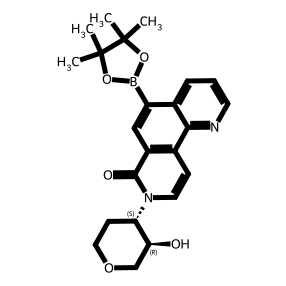 CC1(C)OB(c2cc3c(=O)n([C@H]4CCOC[C@@H]4O)ccc3c3ncccc23)OC1(C)C